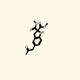 COC(=O)C1(C(=O)OC)Cc2cc(CC(C)=O)ccc2N1